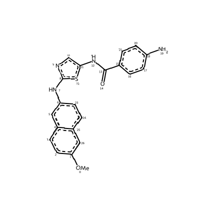 COc1ccc2cc(Nc3ncc(NC(=O)c4ccc(N)cc4)s3)ccc2c1